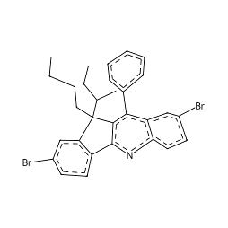 CCCCC1(C(C)CC)c2cc(Br)ccc2-c2nc3ccc(Br)cc3c(-c3ccccc3)c21